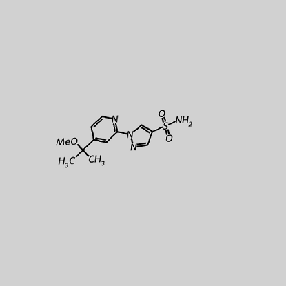 COC(C)(C)c1ccnc(-n2cc(S(N)(=O)=O)cn2)c1